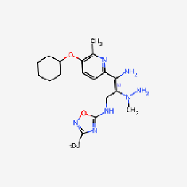 Cc1nc(/C(N)=C(\CNc2nc(C(C)(C)C)no2)N(C)N)ccc1OC1CCCCC1